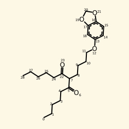 CCCCCC(=O)C(CCCCOc1ccc2c(c1)OCO2)C(=O)CCCCC